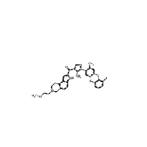 COCCN1CCc2c(ccc3[nH]c(C(=O)c4cnn(-c5cnc(Oc6c(F)cccc6F)cc5C)c4N)cc23)C1